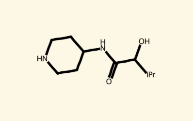 CC(C)C(O)C(=O)NC1CCNCC1